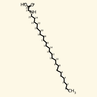 CCCCCCCCCCCCCCCCCCCCCCCCCCNCC(=O)O